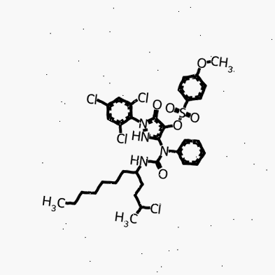 CCCCCCCC(CCC(C)Cl)NC(=O)N(c1ccccc1)c1[nH]n(-c2c(Cl)cc(Cl)cc2Cl)c(=O)c1OS(=O)(=O)c1ccc(OC)cc1